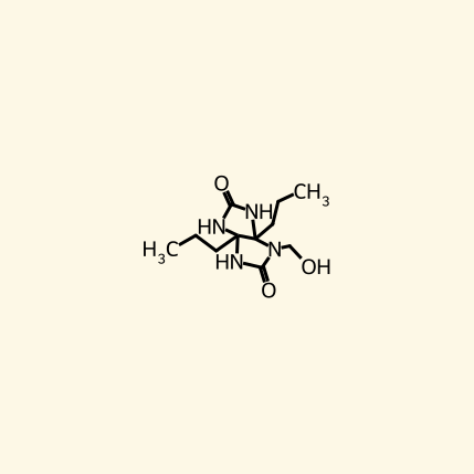 CCCC12NC(=O)NC1(CCC)N(CO)C(=O)N2